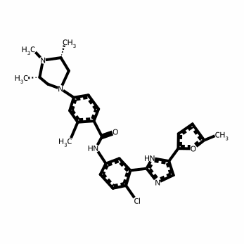 Cc1ccc(-c2cnc(-c3cc(NC(=O)c4ccc(N5C[C@@H](C)N(C)[C@@H](C)C5)cc4C)ccc3Cl)[nH]2)o1